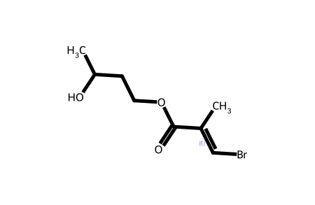 C/C(=C\Br)C(=O)OCCC(C)O